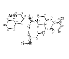 CCNC(=O)CCOC(c1cccc(Cl)c1F)C1CCCN(C(=O)NC(CNC)CC2CCCCC2)C1